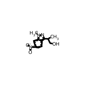 CC(CO)c1nn(C)c2cc([N+](=O)[O-])ccc12